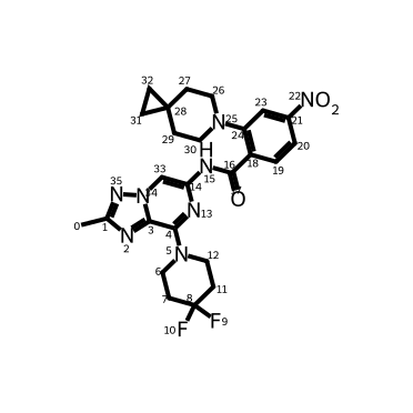 Cc1nc2c(N3CCC(F)(F)CC3)nc(NC(=O)c3ccc([N+](=O)[O-])cc3N3CCC4(CC3)CC4)cn2n1